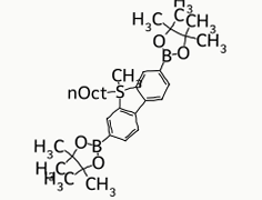 CCCCCCCCS1(C)c2cc(B3OC(C)(C)C(C)(C)O3)ccc2-c2ccc(B3OC(C)(C)C(C)(C)O3)cc21